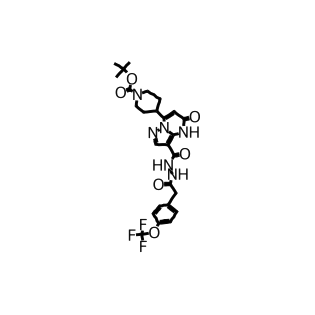 CC(C)(C)OC(=O)N1CCC(c2cc(=O)[nH]c3c(C(=O)NNC(=O)Cc4ccc(OC(F)(F)F)cc4)cnn23)CC1